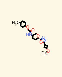 Cc1ccc(OCC(=O)N[C@H]2CC[C@H](c3nnc(C4CC(OC(F)(F)F)C4)o3)OC2)cc1